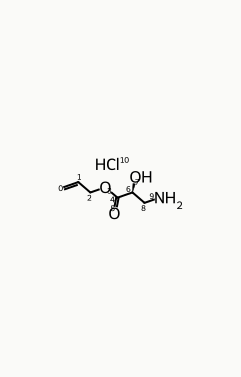 C=CCOC(=O)[C@@H](O)CN.Cl